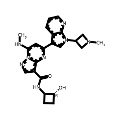 CNc1cc(-c2cn(C3CN(C)C3)c3ncccc23)nc2c(C(=O)NC3CC[C@H]3O)cnn12